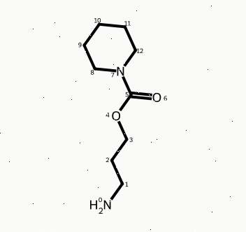 NCCCOC(=O)N1CCCCC1